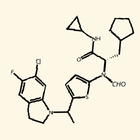 CC(c1ccc(N(C=O)[C@@H](CC2CCCC2)C(=O)NC2CC2)s1)N1CCc2cc(F)c(Cl)cc21